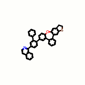 c1ccc(-c2cc(-c3nccc4ccccc34)ccc2-c2ccc3c(c2)-c2ccccc2-c2cc4c(cc2O3)CCS4)cc1